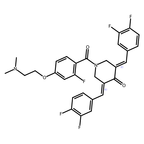 CN(C)CCOc1ccc(C(=O)N2C/C(=C\c3ccc(F)c(F)c3)C(=O)/C(=C/c3ccc(F)c(F)c3)C2)c(F)c1